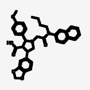 CCCCN(C(=O)CN1CC(c2ccc3c(c2)OCO3)C(C(=O)O)C1c1ccc(OC)cc1)c1ccc2ccccc2c1